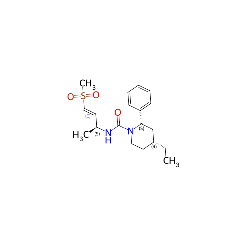 CC[C@@H]1CCN(C(=O)N[C@@H](C)/C=C/S(C)(=O)=O)[C@H](c2ccccc2)C1